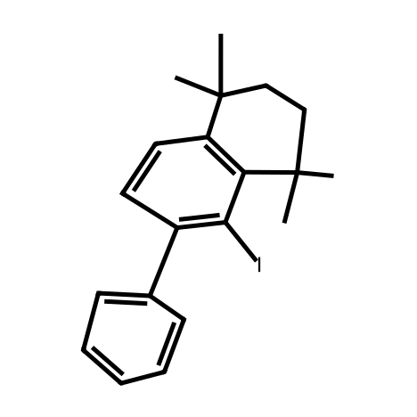 CC1(C)CCC(C)(C)c2c1ccc(-c1ccccc1)c2I